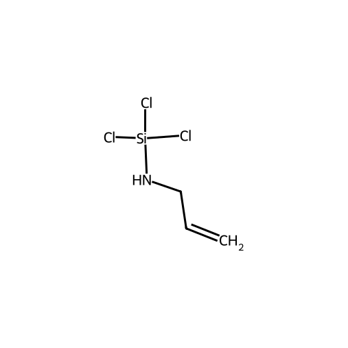 C=CCN[Si](Cl)(Cl)Cl